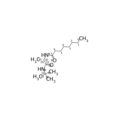 CCCCCCCC(=O)N[C@@H](C)C(=O)NC(C)(C)C